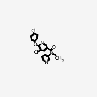 CCN(C(=O)c1cnc(Oc2ccc(Cl)cc2)c(Cl)c1)c1cccnc1